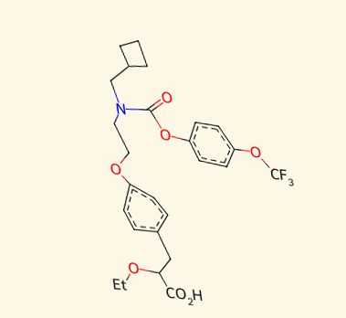 CCOC(Cc1ccc(OCCN(CC2CCC2)C(=O)Oc2ccc(OC(F)(F)F)cc2)cc1)C(=O)O